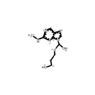 CNc1ncc2ncn(C(O)OCCCO)c2n1